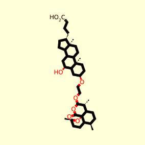 C[C@H]1C(OCCO[C@@H]2CC[C@]3(C)C4CC[C@@]5(C)C(CC[C@@H]5CCCC(=O)O)C4C[C@H](O)C3C2)OC2O[C@@]3(C)CCC4[C@H](C)CCC1[C@@]24O3